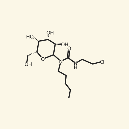 CCCCCN(C(=O)NCCCl)C1O[C@H](CO)[C@H](O)[C@H](O)[C@H]1O